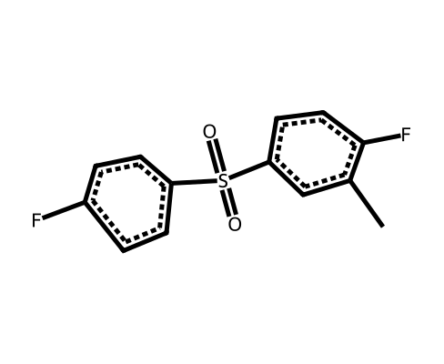 Cc1cc(S(=O)(=O)c2ccc(F)cc2)ccc1F